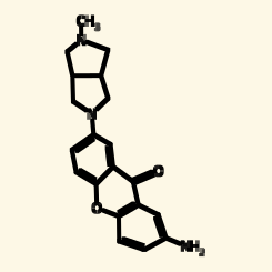 CN1CC2CN(c3ccc4oc5ccc(N)cc5c(=O)c4c3)CC2C1